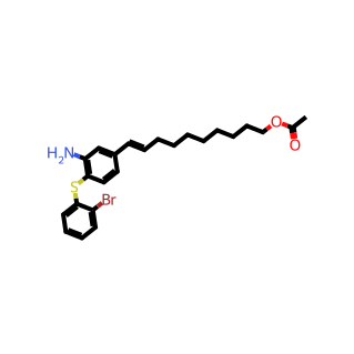 CC(=O)OCCCCCCCCC=Cc1ccc(Sc2ccccc2Br)c(N)c1